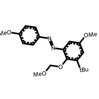 COCOc1c(N=Nc2ccc(OC)cc2)cc(OC)cc1C(C)(C)C